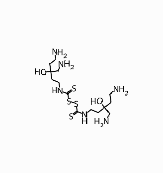 NCCC(O)(CN)CCNC(=S)SSC(=S)NCCC(O)(CN)CCN